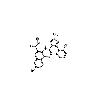 CC(C)NC(=O)c1cc2cc(Br)ccc2c(Br)c1NC(=O)c1cc(C(F)(F)F)nn1-c1ncccc1Cl